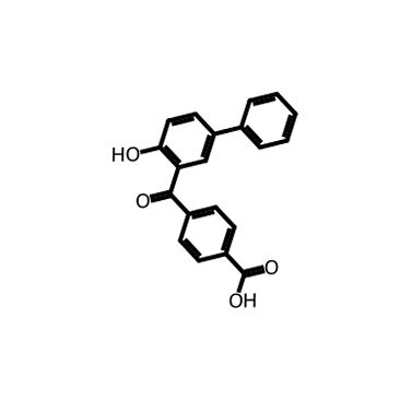 O=C(O)c1ccc(C(=O)c2cc(-c3ccccc3)ccc2O)cc1